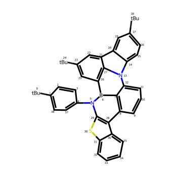 CC(C)(C)c1ccc(N2B3c4c(cccc4-n4c5ccc(C(C)(C)C)cc5c5cc(C(C)(C)C)cc3c54)-c3c2sc2ccccc32)cc1